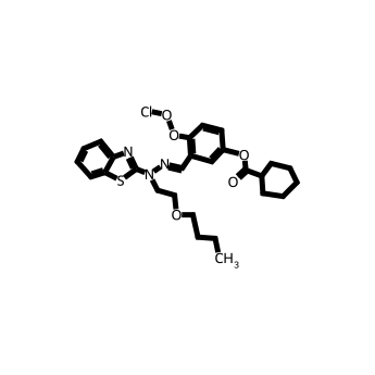 CCCCOCCN(/N=C/c1cc(OC(=O)C2CCCCC2)ccc1OOCl)c1nc2ccccc2s1